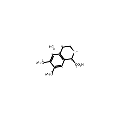 COc1cc2c(cc1OC)C(C(=O)O)SCC2.Cl